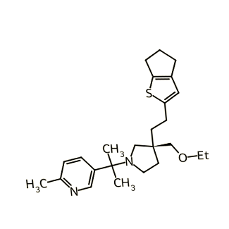 CCOC[C@@]1(CCc2cc3c(s2)CCC3)CCN(C(C)(C)c2ccc(C)nc2)C1